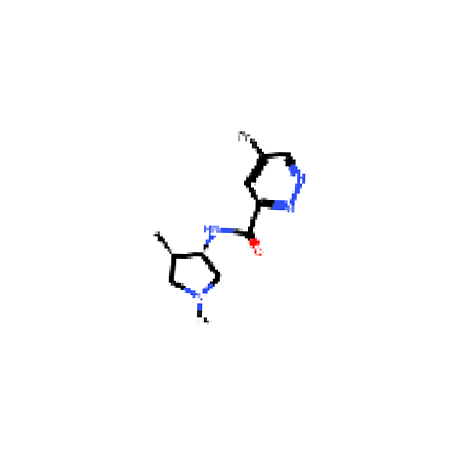 CC(C)c1cnnc(C(=O)N[C@H]2CN(C(C)C)C[C@H]2C)c1